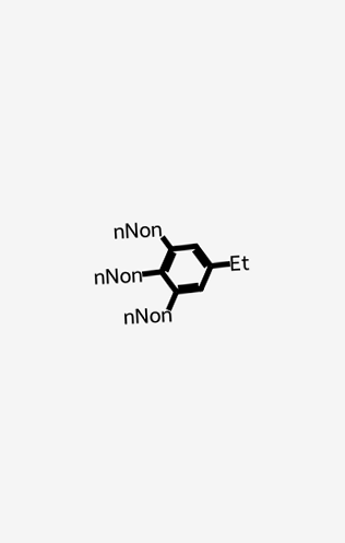 CCCCCCCCCc1cc(CC)cc(CCCCCCCCC)c1CCCCCCCCC